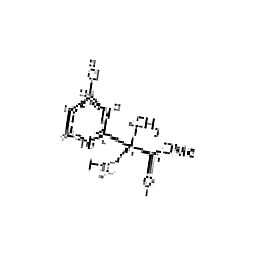 COC(=O)C(C)(C)c1nccc(Cl)n1